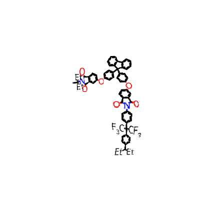 CCC(CC)c1ccc(C(c2ccc(N3C(=O)c4ccc(Oc5ccc(C6(c7ccc(Oc8ccc9c(c8)C(=O)N(C(C)(CC)CC)C9=O)cc7)c7ccccc7-c7ccccc76)cc5)cc4C3=O)cc2)(C(F)(F)F)C(F)(F)F)cc1